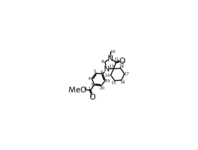 COC(=O)c1ccc(N2CN(C)C(=O)C23CCCCC3)cc1